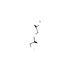 CCOC(=O)COC(=O)CS